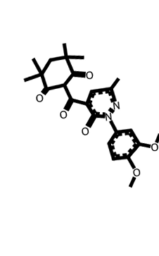 COc1ccc(-n2nc(C)cc(C(=O)C3C(=O)C(C)(C)CC(C)(C)C3=O)c2=O)cc1OC